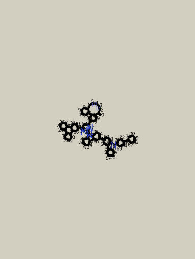 C=C1/C=C\C=C/Cc2ccccc2-c2cc(-c3cc(-c4ccc5c6ccccc6c6ccccc6c5c4)nc(-n4c5ccccc5c5cc(-c6ccc7c(c6)c6ccccc6n7-c6ccc(-c7ccccc7)cc6)ccc54)n3)ccc21